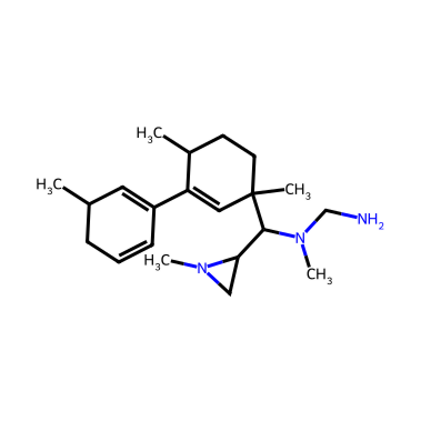 CC1C=C(C2=CC(C)(C(C3CN3C)N(C)CN)CCC2C)C=CC1